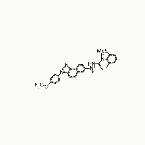 C=[N+](NC(=S)Nc1c(C)cccc1SC)c1ccc2c(ccc3c2ncn3-c2ccc(OC(F)(F)F)cc2)c1